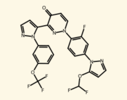 O=c1ccn(-c2ccc(-n3nccc3OC(F)F)cc2F)nc1-c1ccnn1-c1cccc(OC(F)(F)F)c1